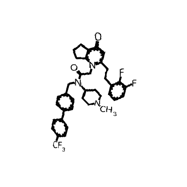 CN1CCC(N(Cc2ccc(-c3ccc(C(F)(F)F)cc3)cc2)C(=O)Cn2c(CCc3cccc(F)c3F)cc(=O)c3c2CCC3)CC1